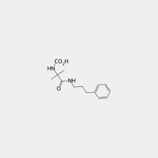 CC(C)(NC(=O)O)C(=O)NCCCc1ccccc1